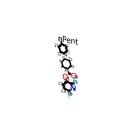 CCCCCc1ccc([C@H]2CC[C@H](C(=O)Oc3ccc(F)nc3F)CC2)cc1